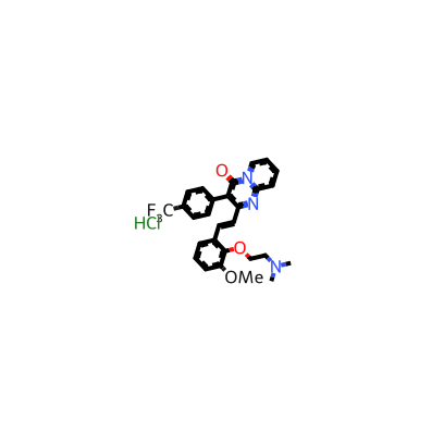 COc1cccc(C=Cc2nc3ccccn3c(=O)c2-c2ccc(C(F)(F)F)cc2)c1OCCN(C)C.Cl